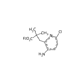 CCOC(=O)C(C)(C)Cc1nc(Cl)ccc1N